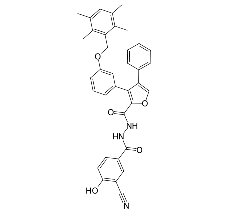 Cc1cc(C)c(C)c(COc2cccc(-c3c(-c4ccccc4)coc3C(=O)NNC(=O)c3ccc(O)c(C#N)c3)c2)c1C